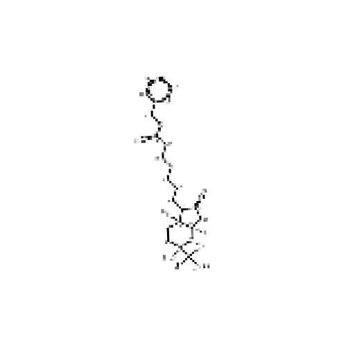 CCCCC(F)(F)[C@@]1(O)CC[C@H]2[C@@H](CC(=O)[C@@H]2CCCCCCC(=O)OCc2ccccc2)O1